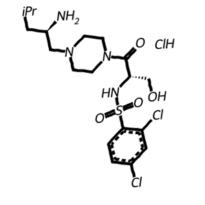 CC(C)C[C@@H](N)CN1CCN(C(=O)[C@H](CO)NS(=O)(=O)c2ccc(Cl)cc2Cl)CC1.Cl